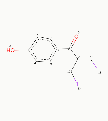 O=C(c1ccc(O)cc1)C(CI)CI